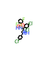 O=S(=O)(N[C@@H](C1=NNC(c2ccc(Cl)cc2)C1)c1ccc(Cl)cc1Cl)c1cc(F)ccc1F